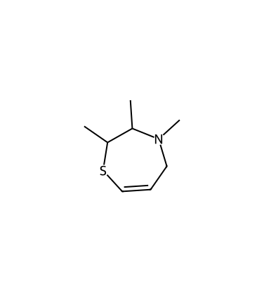 CC1SC=CCN(C)C1C